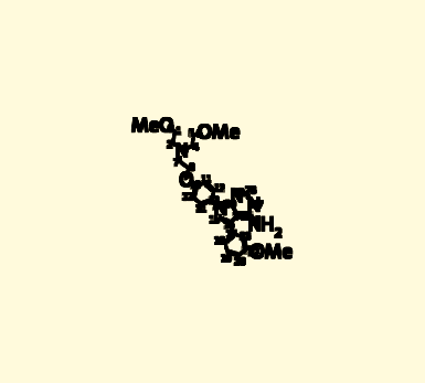 COCCN(CCOC)CCOc1ccc(-n2cc(-c3cccc(OC)c3)c3c(N)ncnc32)cc1